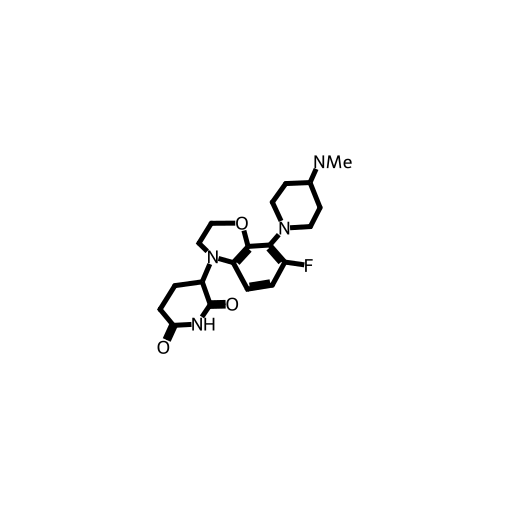 CNC1CCN(c2c(F)ccc3c2OCCN3C2CCC(=O)NC2=O)CC1